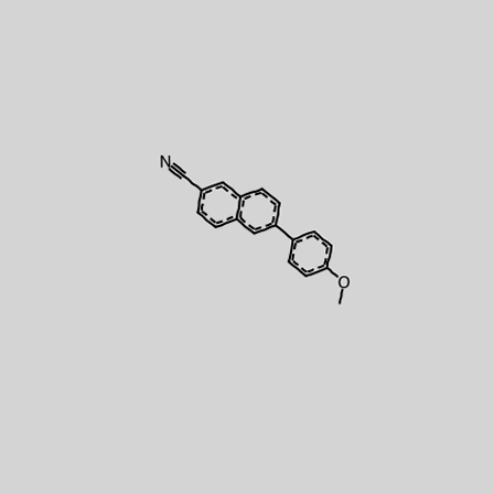 COc1ccc(-c2ccc3cc(C#N)ccc3c2)cc1